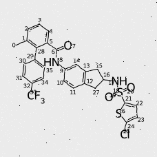 Cc1cccc(C(=O)Nc2ccc3c(c2)CC(NS(=O)(=O)c2ccc(Cl)s2)C3)c1-c1ccc(C(F)(F)F)cc1